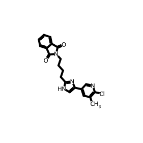 Cc1cc(-c2c[nH]c(CCCCN3C(=O)c4ccccc4C3=O)n2)cnc1Cl